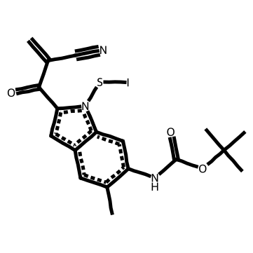 C=C(C#N)C(=O)c1cc2cc(C)c(NC(=O)OC(C)(C)C)cc2n1SI